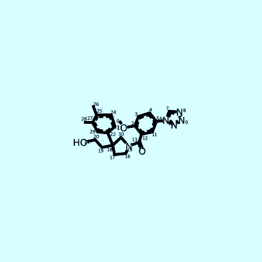 COc1ccc(-n2cnnn2)cc1C(=O)N1CCC(CCO)(c2ccc(C)c(C)c2)C1